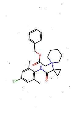 Cc1cc(Cl)cc(C)c1NC(=O)C1([N+]2(CC(=O)OCc3ccccc3)CCCCC2)CC1